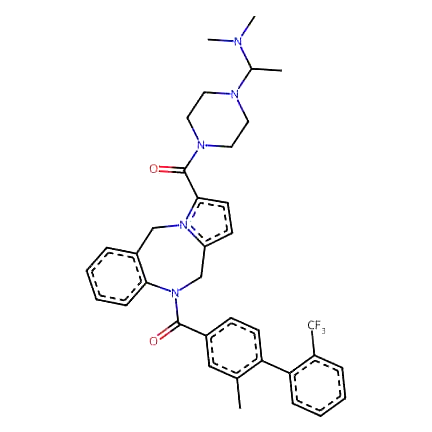 Cc1cc(C(=O)N2Cc3ccc(C(=O)N4CCN(C(C)N(C)C)CC4)n3Cc3ccccc32)ccc1-c1ccccc1C(F)(F)F